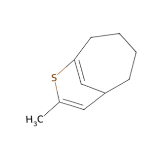 CC1=CC2C=C(CCCC2)S1